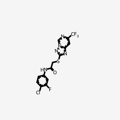 O=C(CSc1nc2cc(C(F)(F)F)ncn2n1)Nc1ccc(Cl)c(F)c1